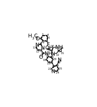 COc1cccc(F)c1-c1nccc(C(=O)Nc2ccc(-c3cnccc3C#N)cc2N2CC3(CC3)NCC2CO)n1